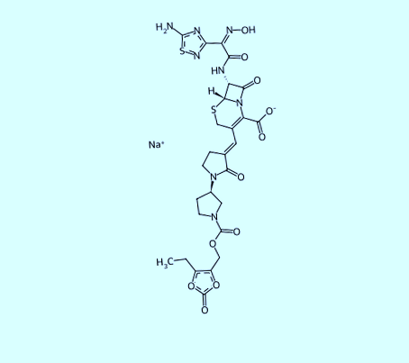 CCc1oc(=O)oc1COC(=O)N1CC[C@@H](N2CC/C(=C\C3=C(C(=O)[O-])N4C(=O)[C@@H](NC(=O)/C(=N\O)c5nsc(N)n5)[C@H]4SC3)C2=O)C1.[Na+]